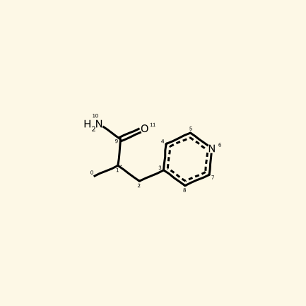 C[C](Cc1ccncc1)C(N)=O